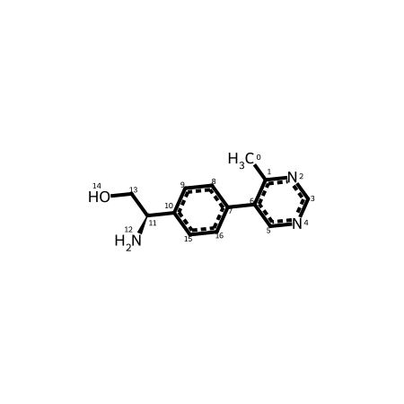 Cc1ncncc1-c1ccc([C@@H](N)CO)cc1